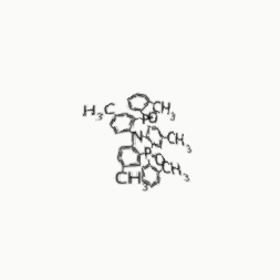 Cc1ccc2c(c1)P(=O)(c1ccccc1C)c1cc(C)cc3c1N2c1ccc(C)cc1P3(=O)c1ccccc1C